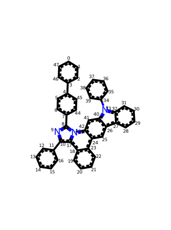 c1ccc(-c2ccc(-c3nc(-c4ccccc4)c4c5ccccc5c5cc6c7ccccc7n(-c7ccccc7)c6cc5n34)cc2)cc1